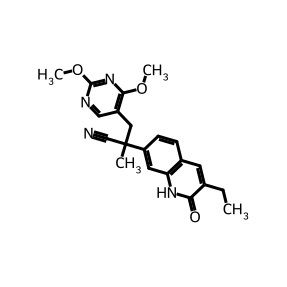 CCc1cc2ccc(C(C)(C#N)Cc3cnc(OC)nc3OC)cc2[nH]c1=O